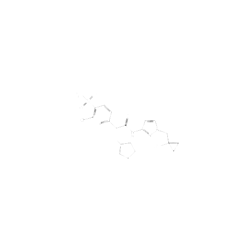 CS(=O)(=O)c1ccc([C@@H](CC2CCCC2)C(=O)Nc2ccn(CC3(O)CC3)n2)cc1Cl